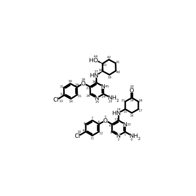 Nc1ncc(Oc2ccc(Cl)cc2)c(NC2CCCC(=O)C2)n1.Nc1ncc(Oc2ccc(Cl)cc2)c(N[C@@H]2CCCC[C@@H]2O)n1